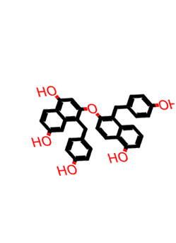 Oc1ccc(Cc2c(Oc3cc(O)c4ccc(O)cc4c3Cc3ccc(O)cc3)ccc3c(O)cccc23)cc1